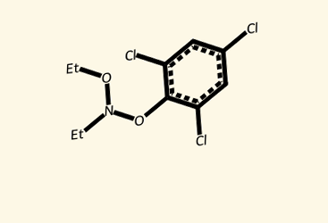 CCON(CC)Oc1c(Cl)cc(Cl)cc1Cl